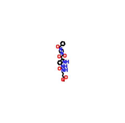 COC(=O)CCCNC(=O)Nc1cccc2c(C(=O)C(=O)N3CCN(C(=O)c4ccccc4)CC3)c[nH]c12